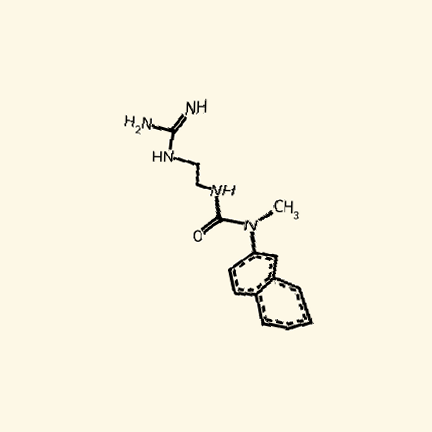 CN(C(=O)NCCNC(=N)N)c1ccc2ccccc2c1